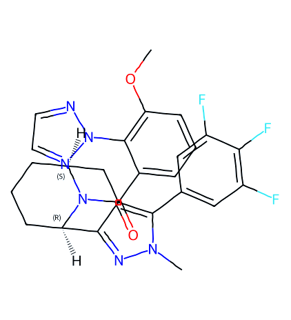 COc1cccc(C(=O)N2[C@H]3CCC[C@@H]2c2nn(C)c(-c4cc(F)c(F)c(F)c4)c2C3)c1-n1nccn1